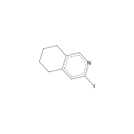 Ic1cc2c(cn1)CCCC2